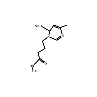 COC1C=C(C)N=CN1CCCC(=O)NC(C)(C)C